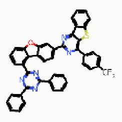 FC(F)(F)c1ccc(-c2nc(-c3ccc4c(c3)oc3cccc(-c5nc(-c6ccccc6)nc(-c6ccccc6)n5)c34)nc3c2sc2ccccc23)cc1